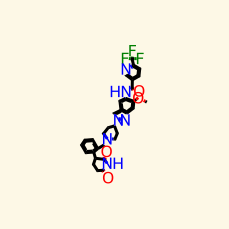 COc1cc2nn(C3CCN(Cc4ccccc4C4CCC(=O)NC4=O)CC3)cc2cc1NC(=O)c1ccc(C(F)(F)F)nc1